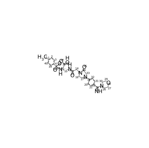 Cc1ccc(S(=O)(=O)N[C@@H](CNC(=O)CN2CCN(c3ccc(C(=N)N4CCOCC4)cc3)CC2=O)C(=O)O)cc1